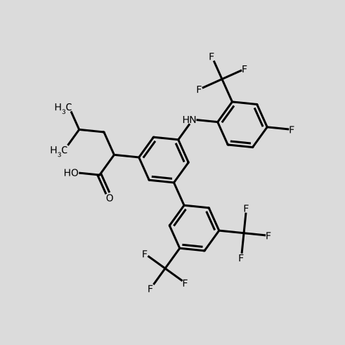 CC(C)CC(C(=O)O)c1cc(Nc2ccc(F)cc2C(F)(F)F)cc(-c2cc(C(F)(F)F)cc(C(F)(F)F)c2)c1